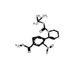 COC(=O)c1ccc(C2=CCCCN2C(=O)OC(C)(C)C)c([N+](=O)[O-])c1